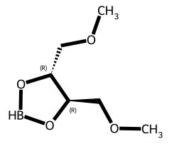 COC[C@H]1OBO[C@@H]1COC